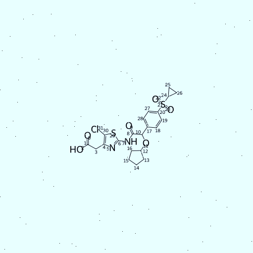 O=C(O)Cc1nc(NC(=O)C(OC2CCCC2)c2ccc(S(=O)(=O)C3CC3)cc2)sc1Cl